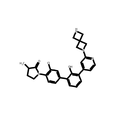 CC1CCN(c2ccc(-c3cccc(-c4ccnc(N5CC6(CNC6)C5)c4)c3O)cc2Cl)C1=O